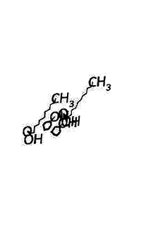 CCCCCCCCCCC(=O)O.CCCCCCCCCCC(=O)O.Oc1ccccc1.Oc1ccccc1